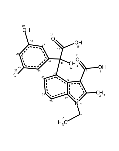 CCn1c(C)c(C(=O)O)c2c(C(C)(C(=O)O)c3cc(O)cc(Cl)c3)cccc21